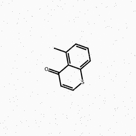 Cc1cccc2sccc(=O)c12